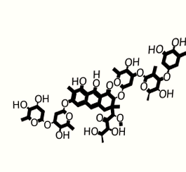 CO[C@H](C(=O)[C@@H](O)[C@@H](C)O)C1(C)Cc2cc3cc(O[C@H]4C[C@@H](O[C@H]5C[C@@H](O)[C@H](O)C(C)O5)[C@H](O)C(C)O4)c(C)c(O)c3c(O)c2C(=O)[C@@H]1O[C@H]1CC(O[C@@H]2O[C@H](C)[C@@H](O)C(O[C@@H]3CC(C)[C@H](O)C(O)C3)C2C)[C@H](O)C(C)O1